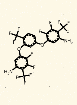 Nc1cc(Oc2ccc(C(F)(F)F)c(Oc3cc(N)c(C(F)(F)F)c(F)c3F)c2)c(F)c(F)c1C(F)(F)F